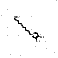 CCCCCCCCCCCCCCCCCCC[n+]1ccc(CCC)c(CCC)c1